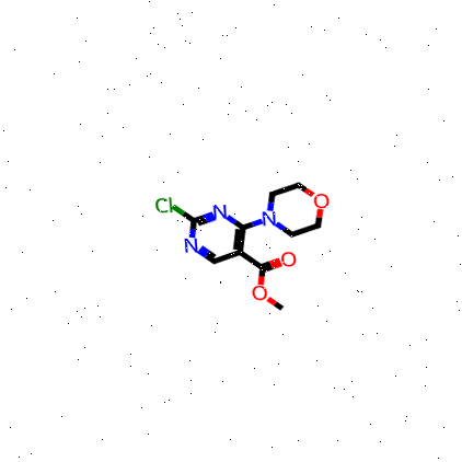 COC(=O)c1cnc(Cl)nc1N1CCOCC1